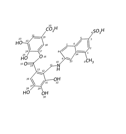 Cc1cc(S(=O)(=O)O)cc2ccc(NCc3c(C(=O)Oc4cc(C(=O)O)cc(O)c4O)cc(O)c(O)c3O)cc12